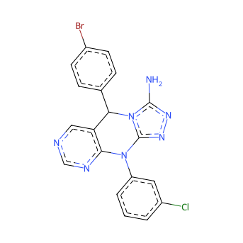 Nc1nnc2n1C(c1ccc(Br)cc1)c1cncnc1N2c1cccc(Cl)c1